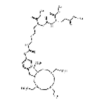 CC(C)(C)OC(=O)CC[C@H](NC(=O)N[C@@H](CCCCNC(=S)Nc1ccc(CC2CN(CC(=O)O)CCN(CC(=O)O)CCN(CC(=O)O)CCN2CC(=O)O)cc1)C(=O)OC(C)(C)C)C(=O)OC(C)(C)C